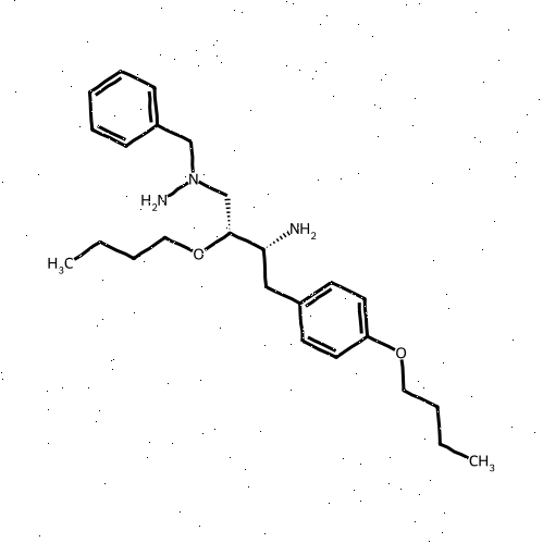 CCCCOc1ccc(C[C@@H](N)[C@@H](CN(N)Cc2ccccc2)OCCCC)cc1